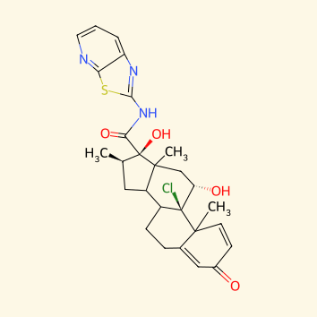 C[C@@H]1CC2C3CCC4=CC(=O)C=CC4(C)[C@@]3(Cl)[C@@H](O)CC2(C)[C@@]1(O)C(=O)Nc1nc2cccnc2s1